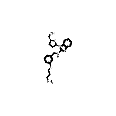 NCCCOc1cccc(CNc2nc3ccccc3n2[C@H]2CC[C@@H](CO)O2)c1